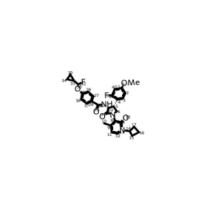 COc1ccc([C@@H]2CN(c3c(C)ccn(C4CCC4)c3=O)C(=O)[C@H]2NC(=O)c2ccc(OC(F)C3CC3)cc2)c(F)c1